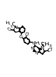 CN1C(=O)Cc2c(Oc3ccc(Nc4ncnc5cc(Cl)n(C)c45)cc3Cl)cccc21